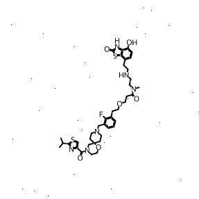 CC(C)c1nc(C(=O)N2CCOC3(CCN(Cc4cccc(CCOCCC(=O)N(C)CCNCCc5ccc(O)c6[nH]c(=O)sc56)c4F)CC3)C2)cs1